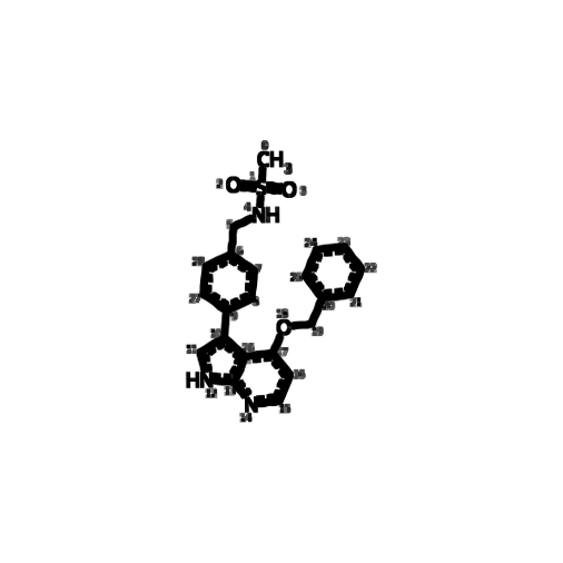 CS(=O)(=O)NCc1ccc(-c2c[nH]c3nccc(OCc4ccccc4)c23)cc1